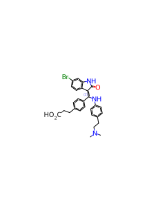 CN(C)CCc1ccc(N/C(=C2\C(=O)Nc3cc(Br)ccc32)c2ccc(CCC(=O)O)cc2)cc1